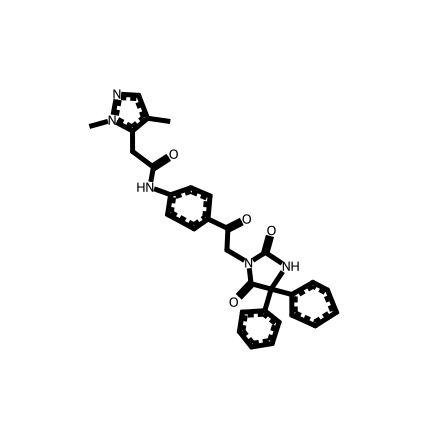 Cc1cnn(C)c1CC(=O)Nc1ccc(C(=O)CN2C(=O)NC(c3ccccc3)(c3ccccc3)C2=O)cc1